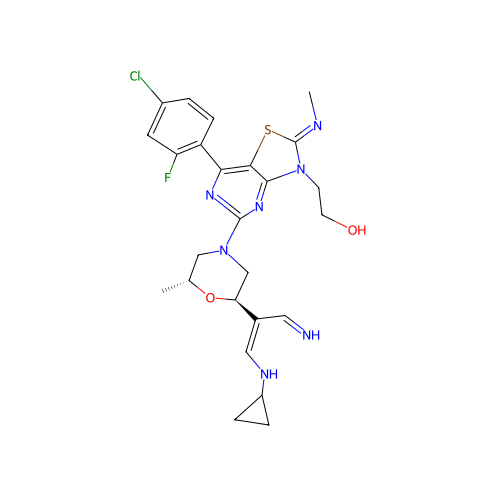 C/N=c1\sc2c(-c3ccc(Cl)cc3F)nc(N3C[C@@H](C)O[C@H](/C(C=N)=C/NC4CC4)C3)nc2n1CCO